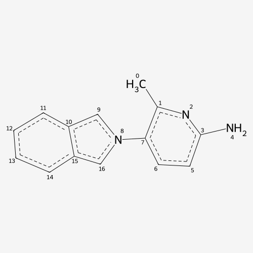 Cc1nc(N)ccc1-n1cc2ccccc2c1